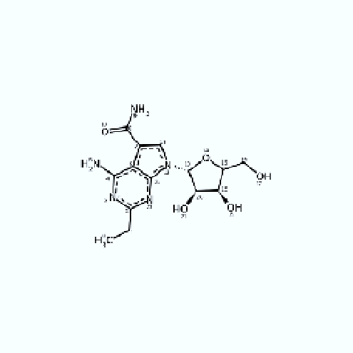 CCc1nc(N)c2c(C(N)=O)cn([C@@H]3OC(CO)[C@@H](O)[C@H]3O)c2n1